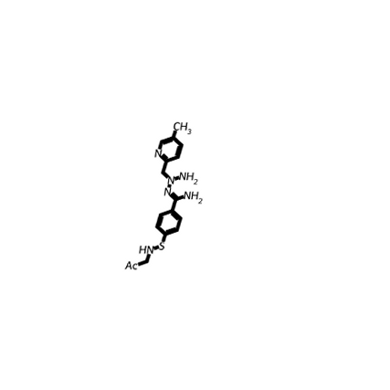 CC(=O)CNSc1ccc(/C(N)=N/N(N)Cc2ccc(C)cn2)cc1